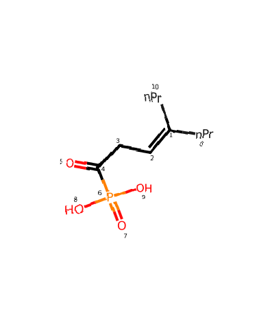 CCCC(=CCC(=O)P(=O)(O)O)CCC